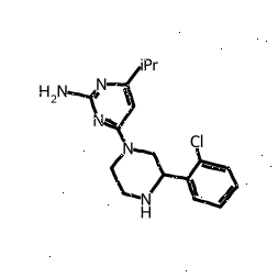 CC(C)c1cc(N2CCNC(c3ccccc3Cl)C2)nc(N)n1